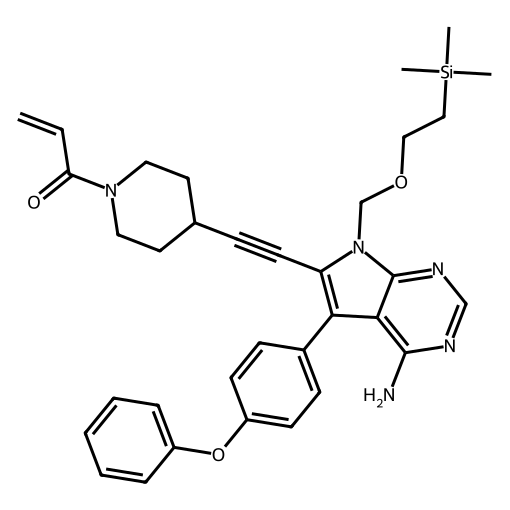 C=CC(=O)N1CCC(C#Cc2c(-c3ccc(Oc4ccccc4)cc3)c3c(N)ncnc3n2COCC[Si](C)(C)C)CC1